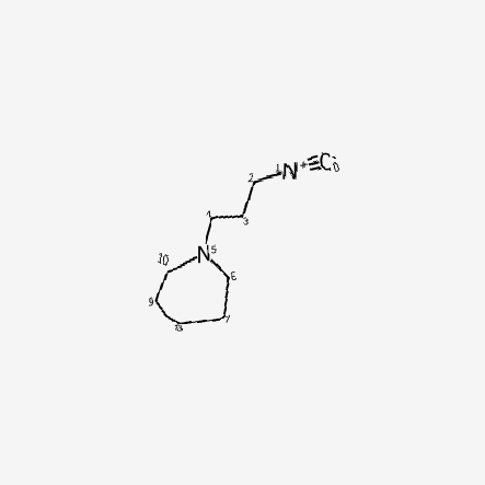 [C-]#[N+]CCCN1CCCCC1